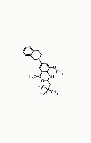 COc1cc(N2CCc3ccccc3C2)cc(OC)c1NC(=O)CC(C)(C)C